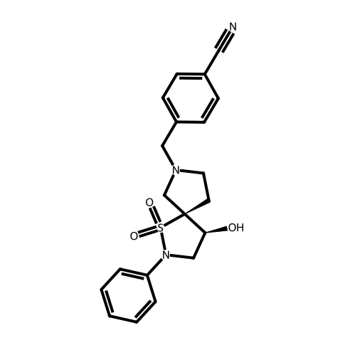 N#Cc1ccc(CN2CC[C@@]3(C2)[C@@H](O)CN(c2ccccc2)S3(=O)=O)cc1